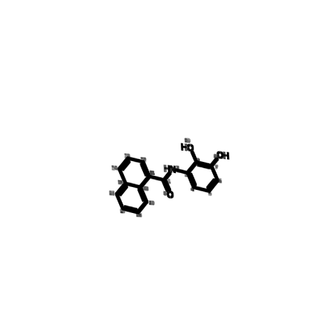 O=C(Nc1cccc(O)c1O)c1cccc2ccccc12